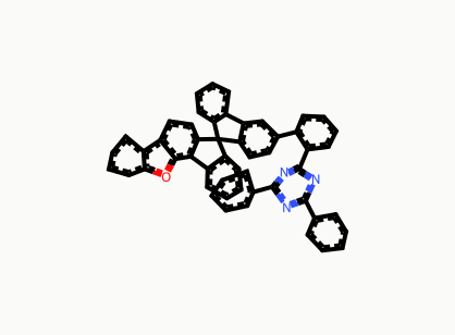 c1ccc(-c2nc(-c3ccccc3)nc(-c3ccccc3-c3ccc4c(c3)-c3ccccc3C43c4ccccc4-c4c3ccc3c4oc4ccccc43)n2)cc1